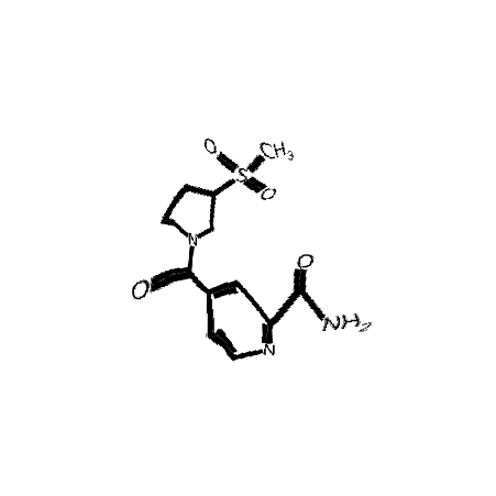 CS(=O)(=O)C1CCN(C(=O)c2ccnc(C(N)=O)c2)C1